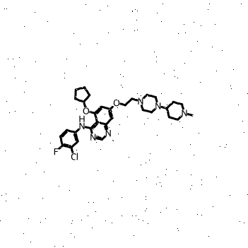 CN1CCC(N2CCN(CCOc3cc(OC4CCCC4)c4c(Nc5ccc(F)c(Cl)c5)ncnc4c3)CC2)CC1